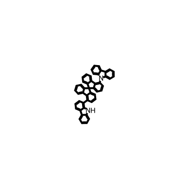 c1ccc2c(c1)-c1c(-c3cccc4c3[nH]c3ccccc34)cccc1C21c2ccccc2-c2c(-n3c4ccccc4c4ccccc43)cccc21